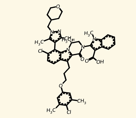 Cc1cc(OCCCc2c3n(c4c(-c5c(C)nn(CC6CCOCC6)c5C)c(Cl)ccc24)[C@H](C)CN(c2c(C(=O)O)c4ccccc4n2C)C3=O)cc(C)c1Cl